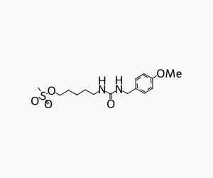 COc1ccc(CNC(=O)NCCCCCOS(C)(=O)=O)cc1